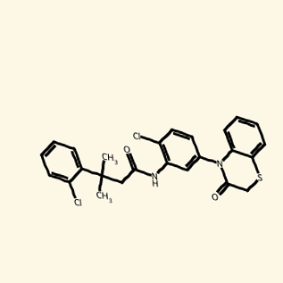 CC(C)(CC(=O)Nc1cc(N2C(=O)CSc3ccccc32)ccc1Cl)c1ccccc1Cl